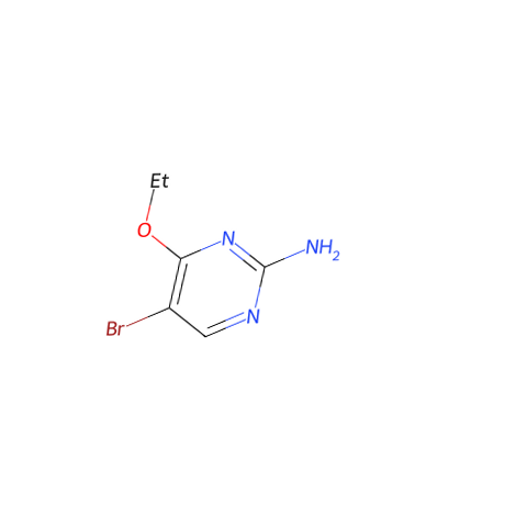 CCOc1nc(N)ncc1Br